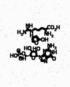 N=C(N)NCCCC(N)C(=O)O.Nc1nc2c(ncn2[C@@H]2O[C@H](COP(=O)(O)O)[C@@H](O)[C@H]2O)c(=O)[nH]1.Oc1ccco1